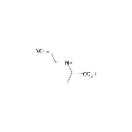 C[C@H](NCCC#N)C(=O)O